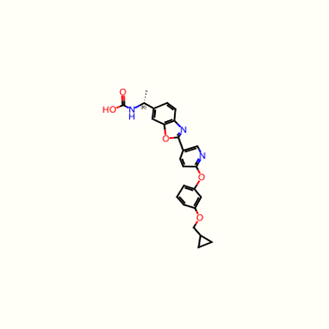 C[C@@H](NC(=O)O)c1ccc2nc(-c3ccc(Oc4cccc(OCC5CC5)c4)nc3)oc2c1